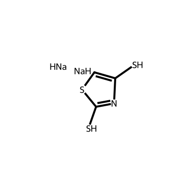 Sc1csc(S)n1.[NaH].[NaH]